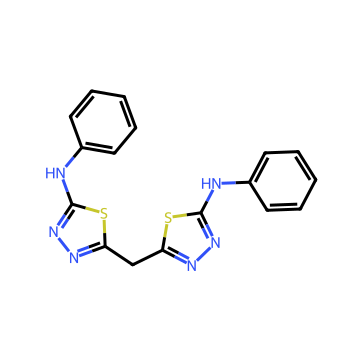 c1ccc(Nc2nnc(Cc3nnc(Nc4ccccc4)s3)s2)cc1